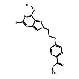 COC(=O)c1ccc(OCCn2cc3nc(Cl)nc(OC)c3n2)cn1